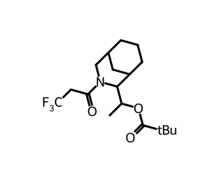 CC(OC(=O)C(C)(C)C)C1C2CCCC(C2)CN1C(=O)CC(F)(F)F